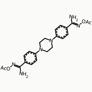 CC(=O)O/N=C(\N)c1ccc(N2CCN(c3ccc(/C(N)=N/OC(C)=O)cc3)CC2)cc1